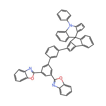 c1ccc(N2c3ccccc3C3(c4ccccc4-c4ccc(-c5cccc(-c6cc(-c7nc8ccccc8o7)cc(-c7nc8ccccc8o7)c6)c5)cc43)c3ccccc32)cc1